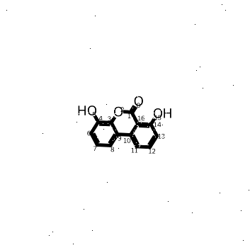 O=c1oc2c(O)cccc2c2cccc(O)c12